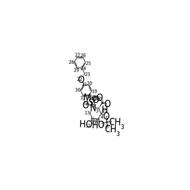 COC(=O)[C@H]1[C@@H]2OC(C)(C)O[C@H]2[C@@H](O)CN1S(=O)(=O)c1ccc(OCc2ccccc2)cc1